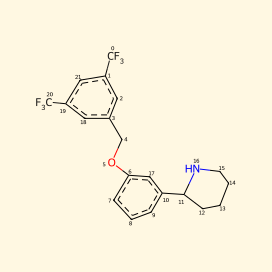 FC(F)(F)c1cc(COc2cccc(C3CCCCN3)c2)cc(C(F)(F)F)c1